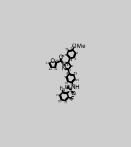 COc1ccc(C2CC(c3ccc(NS(=O)(=O)c4c(F)cccc4F)cc3)=NN2C(=O)c2ccco2)cc1